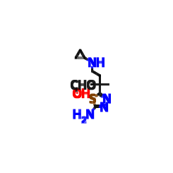 CC(C)(CCNC1CC1)c1nnc(N)s1.O=CO